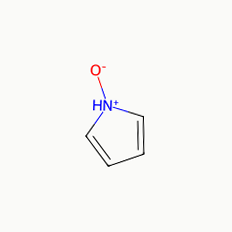 [O-][NH+]1C=CC=C1